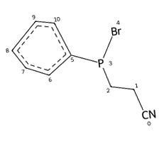 N#CCCP(Br)c1ccccc1